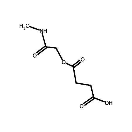 CNC(=O)COC(=O)CCC(=O)O